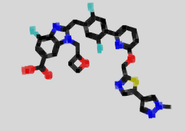 Cn1cc(-c2cnc(COc3cccc(-c4cc(F)c(Cc5nc6c(F)cc(C(=O)O)cc6n5CC5CCO5)cc4F)n3)s2)cn1